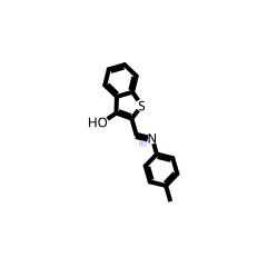 Cc1ccc(/N=C/c2sc3ccccc3c2O)cc1